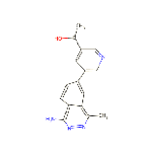 CB(O)c1cncc(-c2ccc3c(N)nnc(C)c3c2)c1